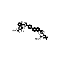 COC(=O)N[C@H](C(=O)N1C(c2ncc(-c3ccc(-c4ccc5cc(-c6cnc([C@@H]7CC8(CC8)CN7C(=O)OC(C)(C)C)[nH]6)ccc5c4)cc3)[nH]2)[C@H]2CC[C@@H]1C2)C(C)C